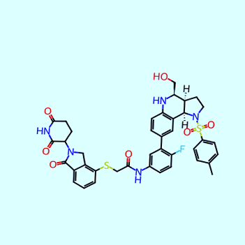 Cc1ccc(S(=O)(=O)N2CC[C@@H]3[C@H](CO)Nc4ccc(-c5cc(NC(=O)CSc6cccc7c6CN(C6CCC(=O)NC6=O)C7=O)ccc5F)cc4[C@@H]32)cc1